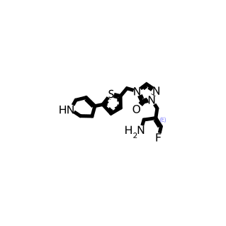 NC/C(=C\F)Cn1ncn(Cc2ccc(C3=CCNCC3)s2)c1=O